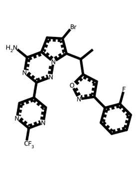 CC(c1cc(-c2ccccc2F)no1)c1c(Br)cc2c(N)nc(-c3cnc(C(F)(F)F)nc3)nn12